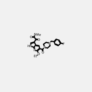 CCOc1nc2[nH]cc(C(=O)C(=O)NC)c2cc1C(=O)N1CCN(Cc2ccc(F)cc2)CC1